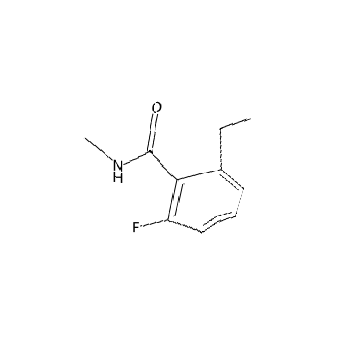 CCc1cccc(F)c1C(=O)NC